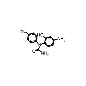 N#Cc1ccc(N(C(N)=O)c2ccc(N)cc2O)cc1